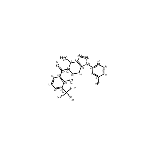 CC1c2nnn(-c3cc(F)ccn3)c2CCN1C(=O)c1cccc(C(F)(F)F)c1Cl